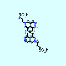 O=S(=O)(O)CCC[n+]1cc2c3c(cncc3c1)CC1(Cc3cncc4c[n+](CCCS(=O)(=O)O)cc(c34)C1)C2